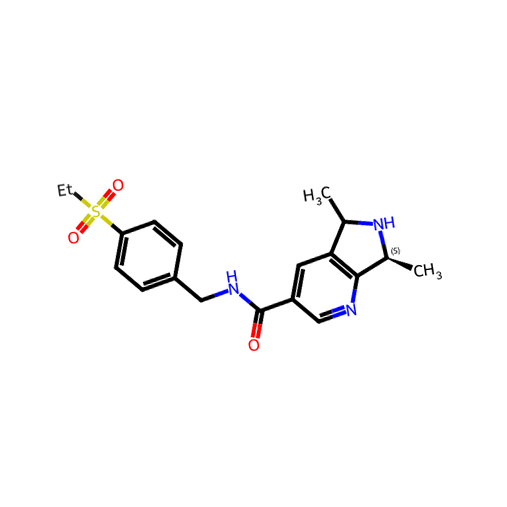 CCS(=O)(=O)c1ccc(CNC(=O)c2cnc3c(c2)C(C)N[C@H]3C)cc1